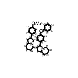 COc1ccc(C2CC3CCCCN3C2)cc1.c1ccc(Oc2ccc(C3CCC4CCCCN43)cc2)cc1